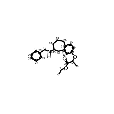 CCOC(=O)C(C)Oc1ccc2c(c1)CC(NCc1ccccc1)CCC2